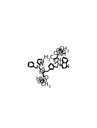 Cc1sc(N(Cc2cccc(Cc3sc(N(Cc4ccccc4)c4cccnn4)nc3C(=O)NS(C)(=O)=O)c2)c2ccnc3ccccc23)nc1C(=O)NS(C)(=O)=O